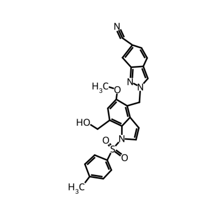 COc1cc(CO)c2c(ccn2S(=O)(=O)c2ccc(C)cc2)c1Cn1cc2ccc(C#N)cc2n1